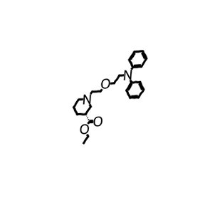 CCOC(=O)[C@@H]1CCCN(CCOCCN(c2ccccc2)c2ccccc2)C1